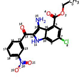 CCOC(=O)c1cc(Cl)cc2[nH]c(C(=O)c3cccc([N+](=O)[O-])c3)c(N)c12